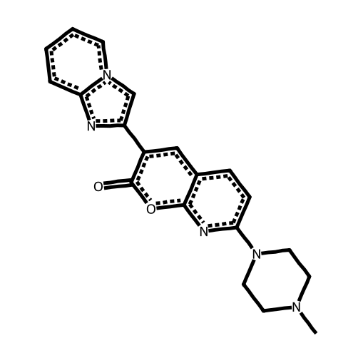 CN1CCN(c2ccc3cc(-c4cn5ccccc5n4)c(=O)oc3n2)CC1